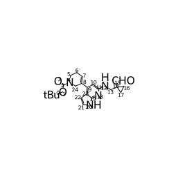 CC(C)(C)OC(=O)N1CCC=C(c2cc(NCC3(C=O)CC3)nc3[nH]ccc23)C1